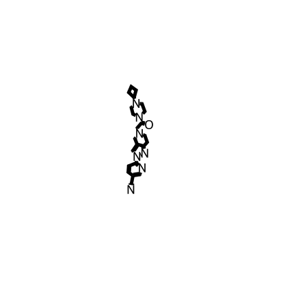 N#Cc1ccc(-n2cc3c(n2)CCN(CC(=O)N2CCN(C4CCC4)CC2)C3)nc1